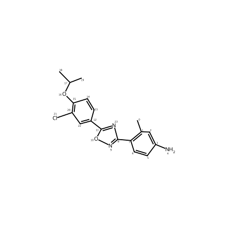 Cc1cc(N)ccc1-c1noc(-c2ccc(OC(C)C)c(Cl)c2)n1